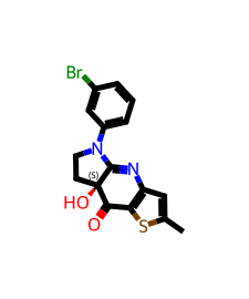 Cc1cc2c(s1)C(=O)[C@]1(O)CCN(c3cccc(Br)c3)C1=N2